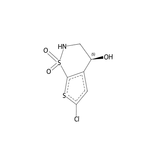 O=S1(=O)NC[C@@H](O)c2cc(Cl)sc21